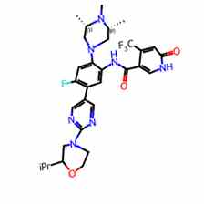 CC(C)C1CN(c2ncc(-c3cc(NC(=O)c4c[nH]c(=O)cc4C(F)(F)F)c(N4C[C@@H](C)N(C)[C@@H](C)C4)cc3F)cn2)CCO1